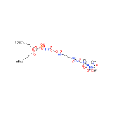 CCCCCCCCCCCCCCCCCC(=O)OC[C@H](COP(=O)(O)OCCNC(=O)OCCOCC(=O)NCCCCCCNC(=O)CNC(=O)CNC(=O)[C@H](CC(C)C)NC(=O)C1O[C@@H]1C(=O)N[C@@H](CC(C)C)C(=O)N1CCC[C@H]1C)OC(=O)CCCCCCCCCCCCCCCCC